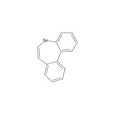 [CH]1=Cc2ccccc2-c2cccc[c]2[Sn]1